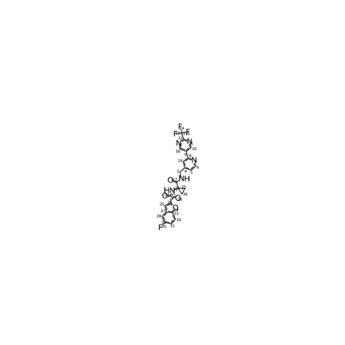 O=C(NCc1ccnc(-c2cnc(C(F)(F)F)nc2)c1)C1(NS(=O)(=O)c2cc3cc(F)ccc3o2)CC1